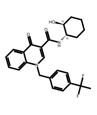 CC(F)(F)c1ccc(Cn2cc(C(=O)N[C@H]3CCCC[C@@H]3O)c(=O)c3ccccc32)cc1